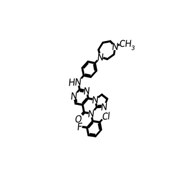 CN1CCCN(c2ccc(Nc3ncc4c(n3)N3CCN=C3N(c3c(F)cccc3Cl)C4=O)cc2)CC1